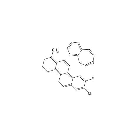 C1=Cc2ccccc2CC=N1.CC1=c2ccc3c(c2CCC1)CC=c1cc(Cl)c(F)cc1=3